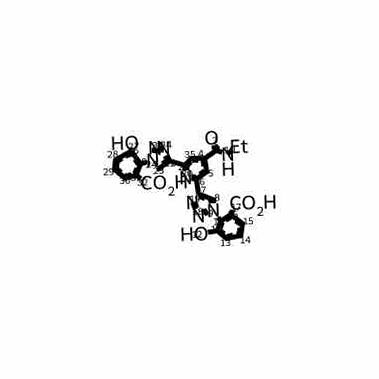 CCNC(=O)c1cc(-c2cn(-c3c(O)cccc3C(=O)O)nn2)nc(-c2cn(-c3c(O)cccc3C(=O)O)nn2)c1